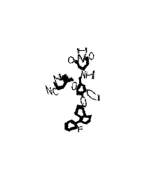 N#Cc1cncc(COc2cc(O[C@H]3CCc4c(-c5ccccc5F)cccc43)c(Cl)cc2CNC2CC(=O)NC(=O)C2)c1